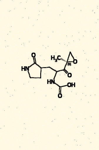 C[C@]1(C(=O)C(CC2CCNC2=O)NC(=O)O)CO1